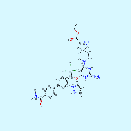 CCOC(=O)[C@@H]1CC2(CCN(c3cc(O[C@H](c4ccc(-c5ccc(C(=O)N(C)C)cc5)cc4-n4ccc(C)n4)C(F)(F)F)nc(N)n3)CC2)CN1